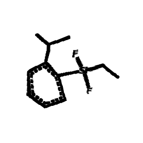 CC[Si](F)(F)c1ccccc1C(C)C